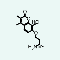 Cc1c(C)c2ccc(OCC[C@@H](C)N)c(C)c2oc1=O.Cl